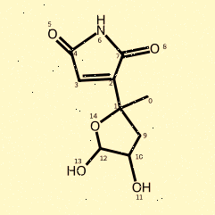 CC1(C2=CC(=O)NC2=O)CC(O)C(O)O1